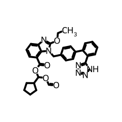 CCOc1nc2cccc(C(=O)OC(OC=O)C3CCCC3)c2n1Cc1ccc(-c2ccccc2-c2nnn[nH]2)cc1